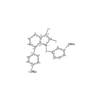 COc1cccc(Cn2c(C)c(C)c3ccnc(-c4ccc(SC)cc4)c32)c1